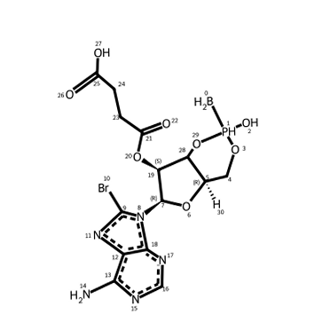 B[PH]1(O)OC[C@H]2O[C@@H](n3c(Br)nc4c(N)ncnc43)[C@@H](OC(=O)CCC(=O)O)C2O1